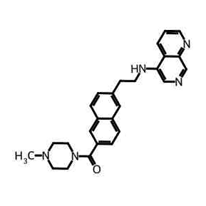 CN1CCN(C(=O)c2ccc3cc(CCNc4cncc5ncccc45)ccc3c2)CC1